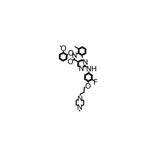 COc1ccccc1ON(C(=O)c1cnc(Nc2ccc(OCCCN3CCN(C)CC3)c(F)c2)nc1)c1c(C)cccc1C